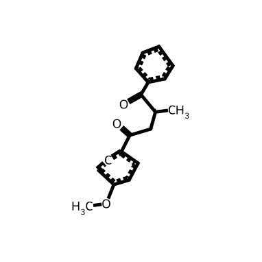 COc1ccc(C(=O)C[C](C)C(=O)c2ccccc2)cc1